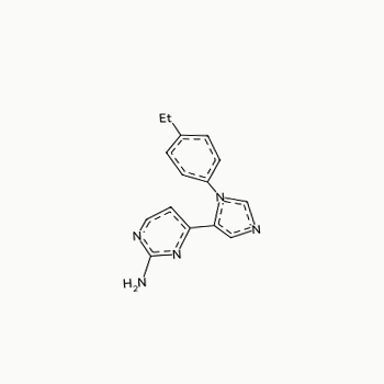 CCc1ccc(-n2cncc2-c2ccnc(N)n2)cc1